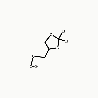 CCC1(CC)OCC(CO[C]=O)O1